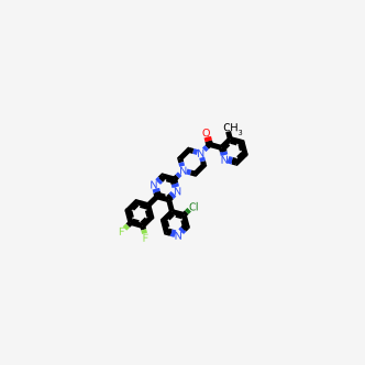 Cc1cccnc1C(=O)N1CCN(c2cnc(-c3ccc(F)c(F)c3)c(-c3ccncc3Cl)n2)CC1